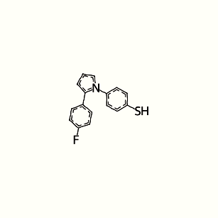 Fc1ccc(-c2cccn2-c2ccc(S)cc2)cc1